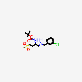 CC(C)(C)OC(=O)NC(CCS(C)(=O)=O)CNCc1cccc(Cl)c1